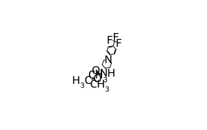 CC(C)(C)OC(=O)NC1CCN(c2ccc(C(F)(F)F)cc2)CC1